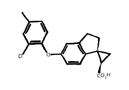 Cc1ccc(Oc2ccc3c(c2)CC[C@]32C[C@H]2C(=O)O)c(Cl)c1